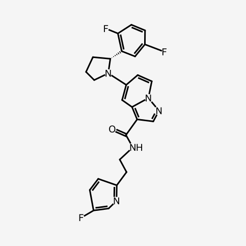 O=C(NCCc1ccc(F)cn1)c1cnn2ccc(N3CCC[C@@H]3c3cc(F)ccc3F)cc12